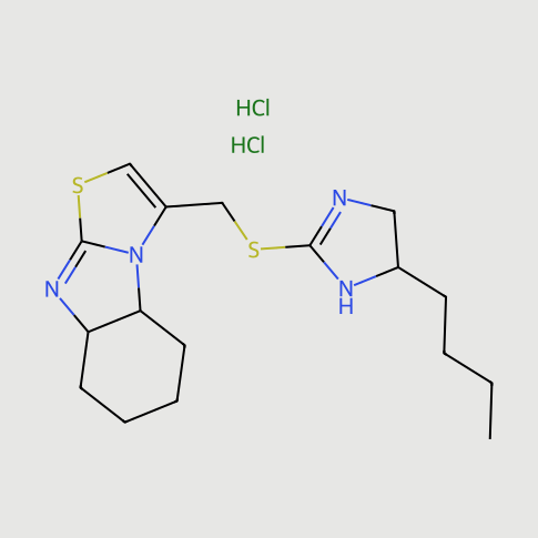 CCCCC1CN=C(SCC2=CSC3=NC4CCCCC4N23)N1.Cl.Cl